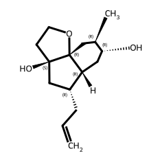 C=CC[C@@H]1C[C@]2(O)CCO[C@@]23C[C@@H](C)[C@H](O)C[C@H]13